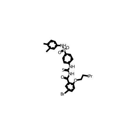 Cc1ccc(NS(=O)(=O)c2ccc(NC(=S)NC(=O)c3cc(Br)ccc3OCCC(C)C)cc2)cc1C